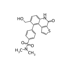 CN(C)S(=O)(=O)c1ccc(-c2c(CO)ccc3[nH]c(=O)c4sccc4c23)cc1